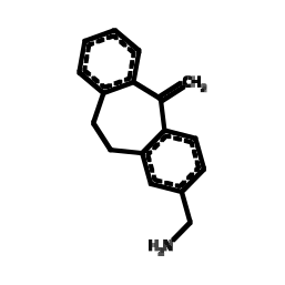 C=C1c2ccccc2CCc2cc(CN)ccc21